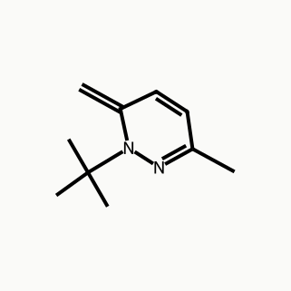 C=C1C=CC(C)=NN1C(C)(C)C